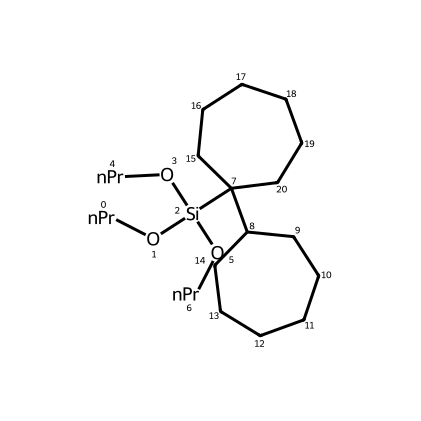 CCCO[Si](OCCC)(OCCC)C1(C2CCCCCC2)CCCCCC1